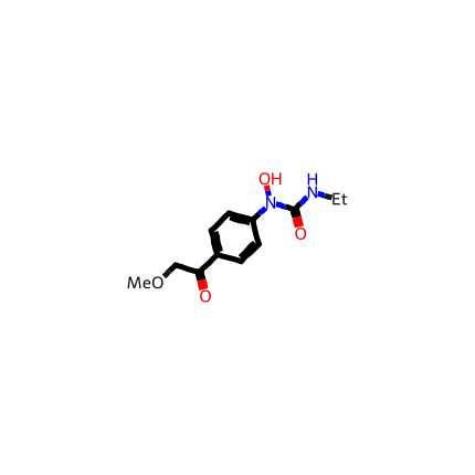 CCNC(=O)N(O)c1ccc(C(=O)COC)cc1